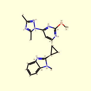 Cc1nc(C)n(-c2cc([C@@H]3C[C@H]3c3nc4ccccc4n3C)nc(OC(C)C)n2)n1